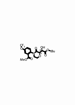 COC(=O)c1cc(OC(F)(F)F)ccc1N1CCO[C@H]([C@@H](O)C(=O)OC(C)(C)C)C1=O